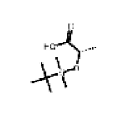 C[C@H](O[Si](C)(C)C(C)(C)C)C(=O)O